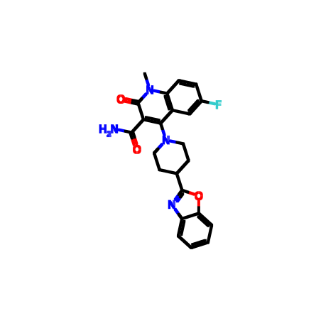 Cn1c(=O)c(C(N)=O)c(N2CCC(c3nc4ccccc4o3)CC2)c2cc(F)ccc21